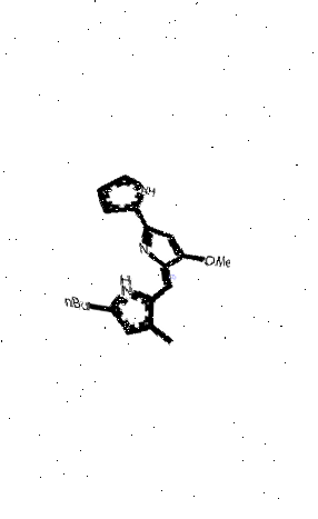 CCCCc1cc(C)c(/C=C2\N=C(c3ccc[nH]3)C=C2OC)[nH]1